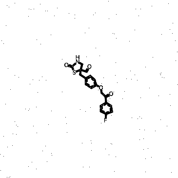 O=CC1(Cc2ccc(OCC(=O)c3ccc(F)cc3)cc2)CNC(=O)S1